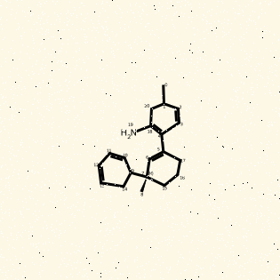 CC1C=CC(C2=C[C@@](C)(C3C=CC=CC3)CCC2)=C(N)C1